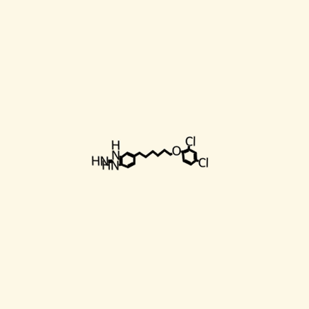 N=c1[nH]c2ccc(CCCCCCOc3ccc(Cl)cc3Cl)cc2[nH]1